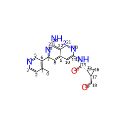 Cc1ccncc1-c1cc2cc(NC(=O)[C@@H]3C[C@H]3C=O)ncc2c(N)n1